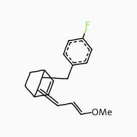 CO/C=C/C=C1/C2C=CC(CC2)C1Cc1ccc(F)cc1